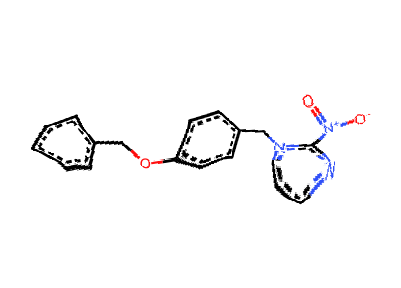 O=[N+]([O-])c1nccn1Cc1ccc(OCc2ccccc2)cc1